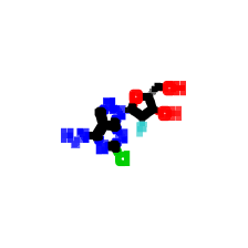 Nc1nc(Cl)nc2c1cnn2[C@@H]1O[C@H](CO)[C@@H](O)[C@@H]1F